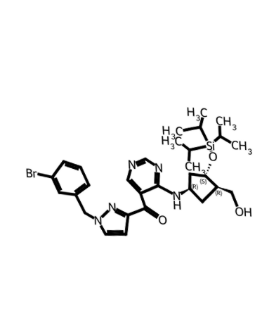 CC(C)[Si](O[C@H]1C[C@H](Nc2ncncc2C(=O)c2ccn(Cc3cccc(Br)c3)n2)C[C@@H]1CO)(C(C)C)C(C)C